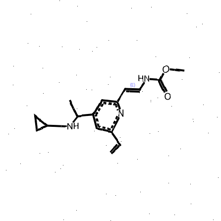 C=Cc1cc(C(C)NC2CC2)cc(/C=C/NC(=O)OC)n1